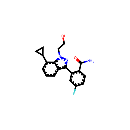 NC(=O)c1ccc(F)cc1-c1nn(CCO)c2c(C3CC3)cccc12